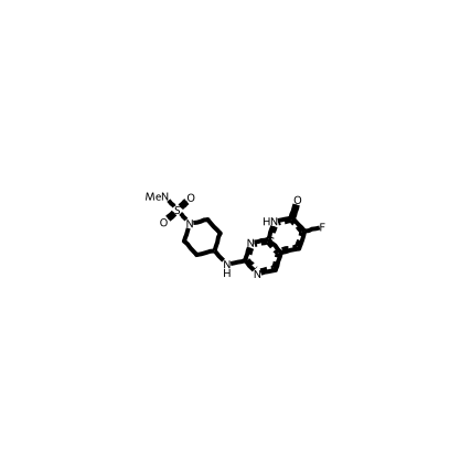 CNS(=O)(=O)N1CCC(Nc2ncc3cc(F)c(=O)[nH]c3n2)CC1